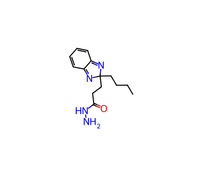 CCCCC1(CCC(=O)NN)N=c2ccccc2=N1